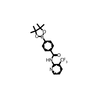 CC1(C)OB(c2ccc(C(=O)Nc3ncccc3C(F)(F)F)cc2)OC1(C)C